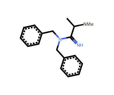 CNC(C)C(=N)N(Cc1ccccc1)Cc1ccccc1